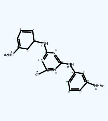 CC(=O)NC1=CC=CC(Nc2nc(Cl)nc(Nc3cccc(NC(C)=O)c3)n2)C1